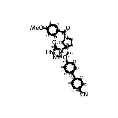 COc1ccc(C(=O)N2CC[C@@](COc3ccc(-c4ccc(C#N)cc4)cc3)(n3nn[nH]c3=O)C2)cc1